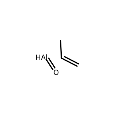 C=CC.[O]=[AlH]